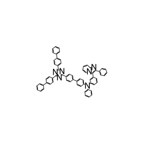 c1ccc(-c2ccc(-c3nc(-c4ccc(-c5ccccc5)cc4)nc(-c4ccc(-c5ccc(N(c6ccccc6)c6cccc(-c7c(-c8ccccc8)nc8ccccn78)c6)cc5)cc4)n3)cc2)cc1